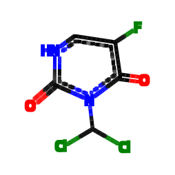 O=c1[nH]cc(F)c(=O)n1C(Cl)Cl